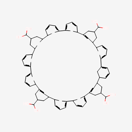 OC(O)C1CC2=CC(C1)C1C=CC=C(C1)C1=CC=CC(C1)C1C=C(CC(C(O)O)C1)C1C=CC=C(C1)C1=CC=CC(C1)C1CC(C(O)O)CC(C1)C1C=CC=C(C1)C1=CC=CC(C1)C1=CC(CC(C(O)O)C1)C1C=CC=C(C1)C1C=CC=C2C1